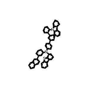 c1cc(-c2ccc(N(c3cccc(-c4ccc5ccccc5c4)c3)c3cccc4c3sc3ccccc34)cc2)cc(-c2ccccc2-n2c3ccccc3c3ccccc32)c1